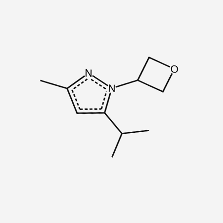 Cc1cc(C(C)C)n(C2COC2)n1